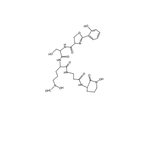 O=CN(O)CCCC(NC(=O)C(CO)NC(=O)C1COC(c2ccccc2O)=N1)C(=O)NCCC(=O)NC1CCCN(O)C1=O